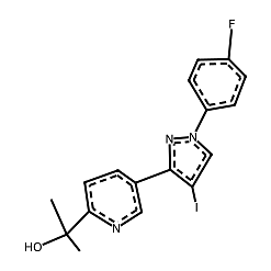 CC(C)(O)c1ccc(-c2nn(-c3ccc(F)cc3)cc2I)cn1